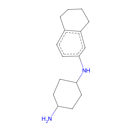 NC1CCC(Nc2ccc3c(c2)CCCC3)CC1